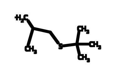 [CH2]C(C)CSC(C)(C)C